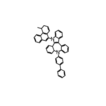 CC1CC=Cc2c(-n3c4c(c5ccccc53)-c3ccccc3N(c3ccc(-c5ccccc5)cc3)C3C=CC=CC43)cc3ccccc3c21